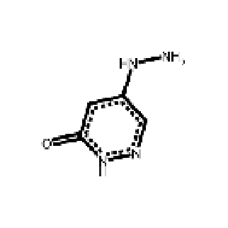 NNc1cn[nH]c(=O)c1